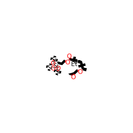 C=C(OCC1CO1)C(C)(C)[CH2][Co][C](C)(CC)C(=O)OCCC[Si](O[Si](C)(C)C)(O[Si](C)(C)C)O[Si](C)(C)C